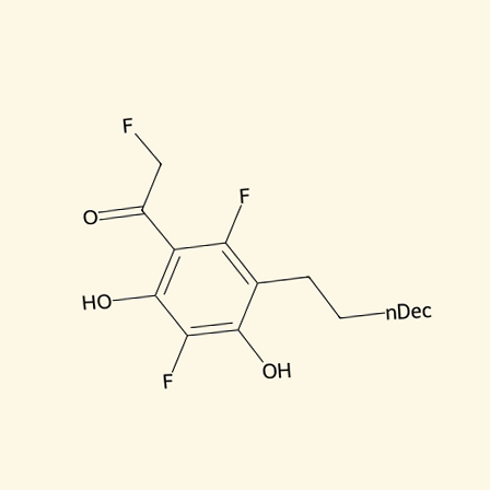 CCCCCCCCCCCCc1c(O)c(F)c(O)c(C(=O)CF)c1F